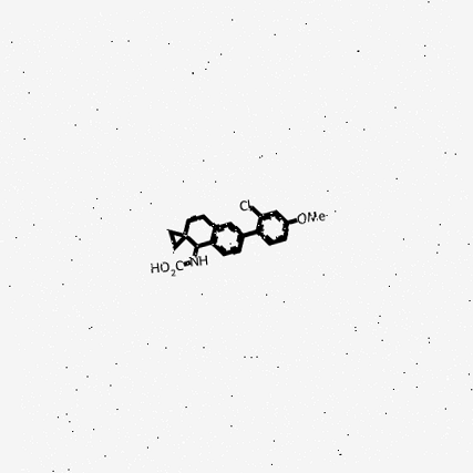 COc1ccc(-c2ccc3c(c2)CCC2(CC2)C3NC(=O)O)c(Cl)c1